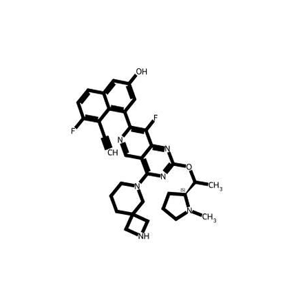 C#Cc1c(F)ccc2cc(O)cc(-c3ncc4c(N5CCCC6(CNC6)C5)nc(OC(C)[C@@H]5CCCN5C)nc4c3F)c12